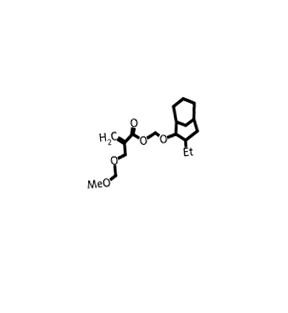 C=C(COCOC)C(=O)OCOC1C(CC)CC2CCCC1C2